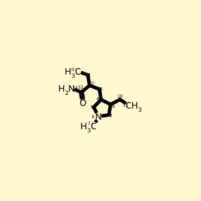 CCC(CC1CN(C)CC1CC)C(N)=O